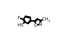 Cc1cc(-c2ccc(F)c(S)c2)on1